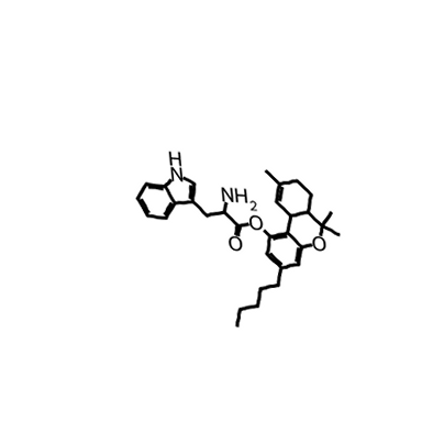 CCCCCc1cc(OC(=O)C(N)Cc2c[nH]c3ccccc23)c2c(c1)OC(C)(C)C1CCC(C)=CC21